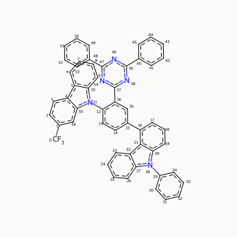 FC(F)(F)c1ccc2c3ccccc3n(-c3ccc(-c4cccc5c4c4ccccc4n5-c4ccccc4)cc3-c3nc(-c4ccccc4)nc(-c4ccccc4)n3)c2c1